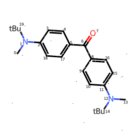 CN(c1ccc(C(=O)c2ccc(N(C)C(C)(C)C)cc2)cc1)C(C)(C)C